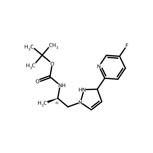 C[C@H](CN1C=CC(c2ccc(F)cn2)N1)NC(=O)OC(C)(C)C